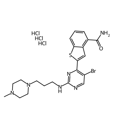 CN1CCN(CCCNc2ncc(Br)c(-c3cc4c(C(N)=O)cccc4s3)n2)CC1.Cl.Cl.Cl